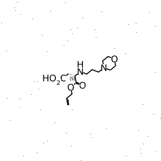 C=CCOC(=O)[C@H](CC(=O)O)NCCCN1CCOCC1